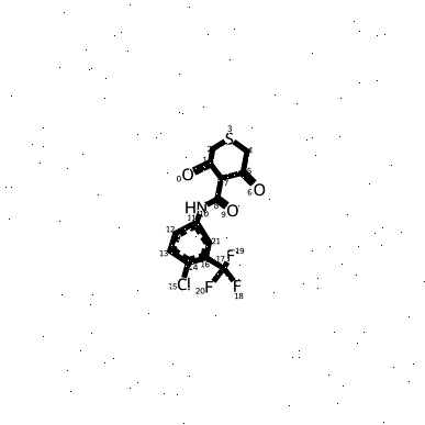 O=C1CSCC(=O)C1C(=O)Nc1ccc(Cl)c(C(F)(F)F)c1